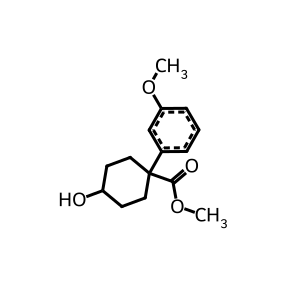 COC(=O)C1(c2cccc(OC)c2)CCC(O)CC1